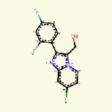 OCc1c(-c2ccc(F)cc2F)nc2cc(Cl)ccn12